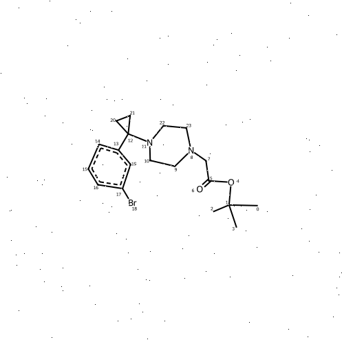 CC(C)(C)OC(=O)CN1CCN(C2(c3cccc(Br)c3)CC2)CC1